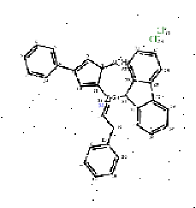 CC1C=C(c2ccccc2)C=[C]1/[Zr+2](=[CH]/Cc1ccccc1)[CH]1c2ccccc2-c2ccccc21.[Cl-].[Cl-]